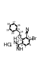 Cl.N#Cc1c(Br)ccc(C(=N)N)c1OCc1ccccc1